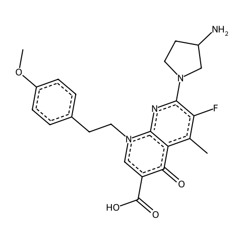 COc1ccc(CCn2cc(C(=O)O)c(=O)c3c(C)c(F)c(N4CCC(N)C4)nc32)cc1